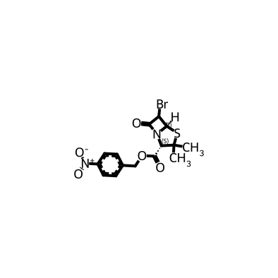 CC1(C)S[C@@H]2C(Br)C(=O)N2[C@H]1C(=O)OCc1ccc([N+](=O)[O-])cc1